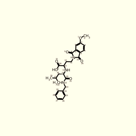 COc1ccc2c(c1)C(=O)N(CCC(N[C@H](CC(C)C)C(=O)NCc1ccccc1)C(=O)O)C2=O